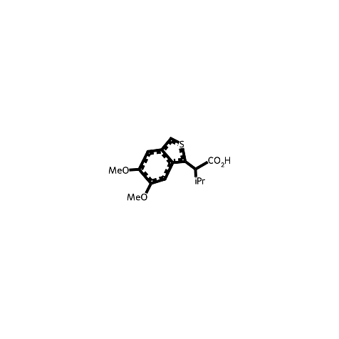 COc1cc2csc(C(C(=O)O)C(C)C)c2cc1OC